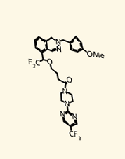 COc1ccc(CN2Cc3cccc(C(OCCCC(=O)N4CCN(c5ncc(C(F)(F)F)cn5)CC4)C(F)(F)F)c3C=N2)cc1